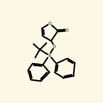 CC(C)(C)[Si](OC1C=COC1=O)(c1ccccc1)c1ccccc1